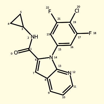 O=C(NC1CC1)c1cc2cccnc2n1-c1cc(F)c(Cl)c(F)c1